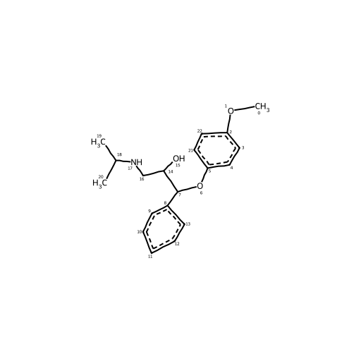 COc1ccc(OC(c2ccccc2)C(O)CNC(C)C)cc1